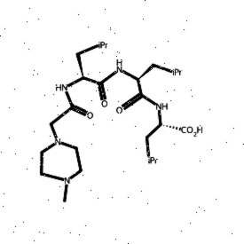 CC(C)C[C@H](NC(=O)[C@H](CC(C)C)NC(=O)[C@H](CC(C)C)NC(=O)CN1CCN(C)CC1)C(=O)O